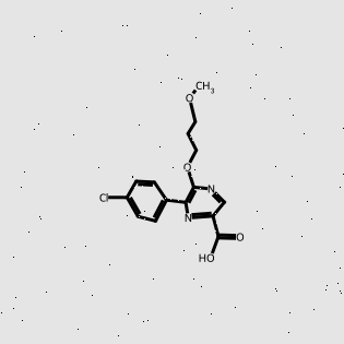 COCCCOc1ncc(C(=O)O)nc1-c1ccc(Cl)cc1